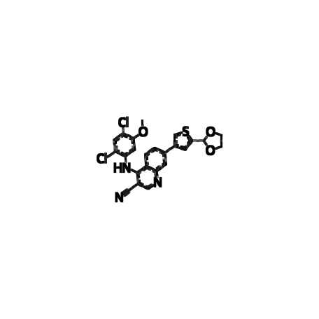 COc1cc(Nc2c(C#N)cnc3cc(-c4csc(C5OCCO5)c4)ccc23)c(Cl)cc1Cl